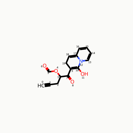 C#CCC(OC=O)C(=O)C1=C(O)N2C=CC=CC2=CC1